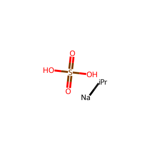 C[CH](C)[Na].O=S(=O)(O)O